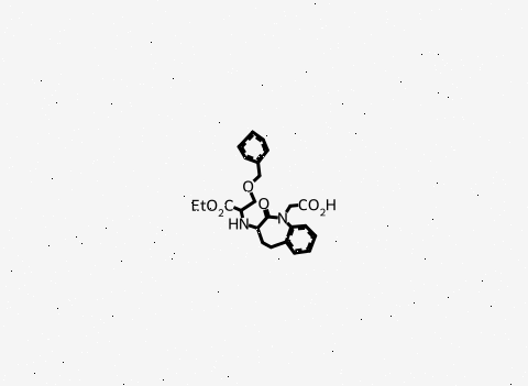 CCOC(=O)C(COCc1ccccc1)NC1CCc2ccccc2N(CC(=O)O)C1=O